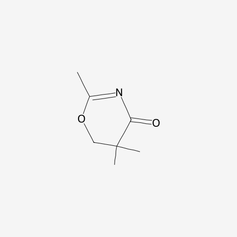 CC1=NC(=O)C(C)(C)CO1